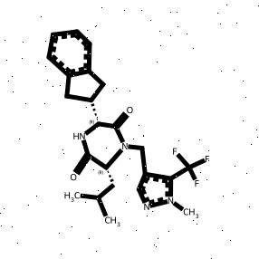 CC(C)C[C@@H]1C(=O)N[C@H](C2Cc3ccccc3C2)C(=O)N1Cc1cnn(C)c1C(F)(F)F